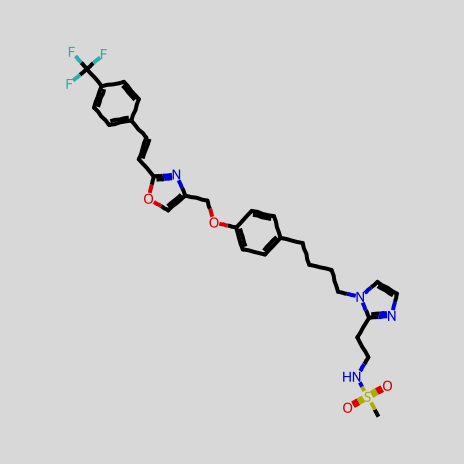 CS(=O)(=O)NCCc1nccn1CCCCc1ccc(OCc2coc(C=Cc3ccc(C(F)(F)F)cc3)n2)cc1